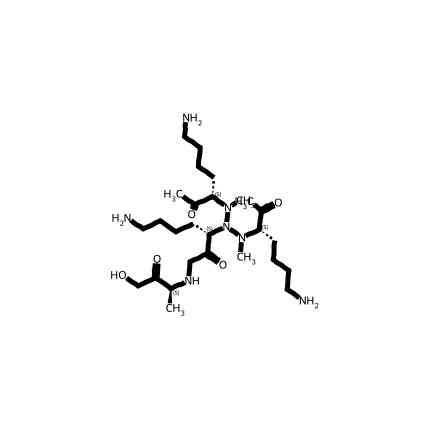 CC(=O)[C@H](CCCCN)N(C)N([C@@H](CCCCN)C(=O)CN[C@@H](C)C(=O)CO)N(C)[C@@H](CCCCN)C(C)=O